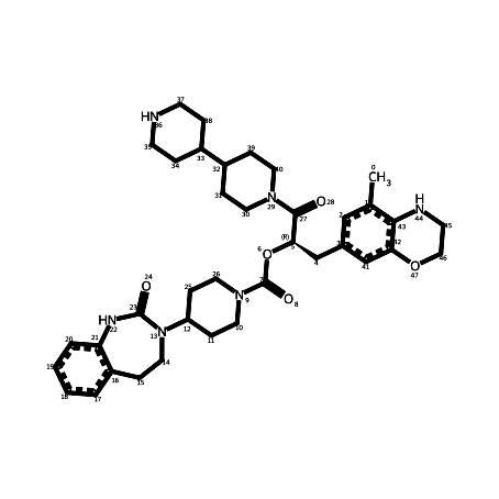 Cc1cc(C[C@@H](OC(=O)N2CCC(N3CCc4ccccc4NC3=O)CC2)C(=O)N2CCC(C3CCNCC3)CC2)cc2c1NCCO2